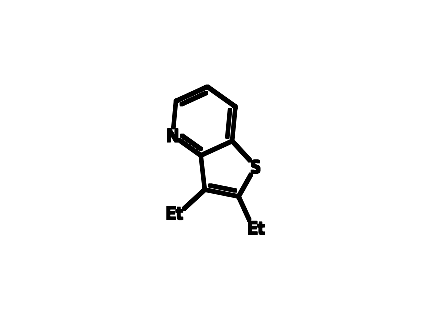 CCc1sc2cccnc2c1CC